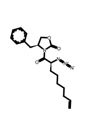 C=CCCCCC[C@H](N=[N+]=[N-])C(=O)N1C(=O)OC[C@@H]1Cc1ccccc1